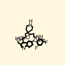 COc1ccc2ncc(CO)c([C@H](O)CCC3([C@@H](O)CCNc4cc(F)cc(F)c4)CCNCC3)c2c1